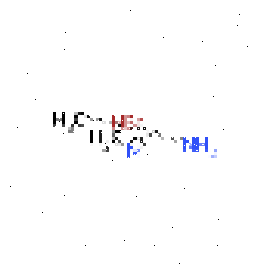 Br.C=Cc1ccccn1.CCCCCCCCCCCCCCCCN